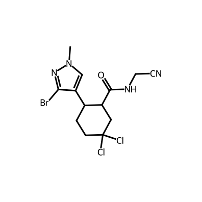 Cn1cc(C2CCC(Cl)(Cl)CC2C(=O)NCC#N)c(Br)n1